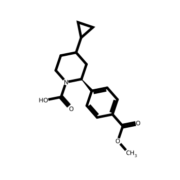 COC(=O)c1ccc([C@@H]2CC(C3CC3)CCN2C(=O)O)cc1